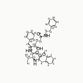 COc1ccccc1CC(=O)NC(C(=O)N[C@@H](Cc1ccccc1)[C@@H](O)CCC(=O)NCCc1ccccc1)C(C)C